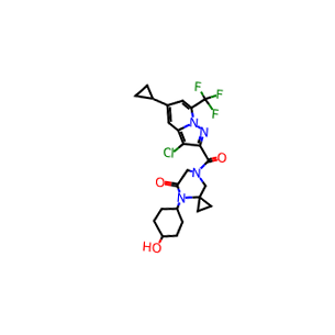 O=C(c1nn2c(C(F)(F)F)cc(C3CC3)cc2c1Cl)N1CC(=O)N(C2CCC(O)CC2)C2(CC2)C1